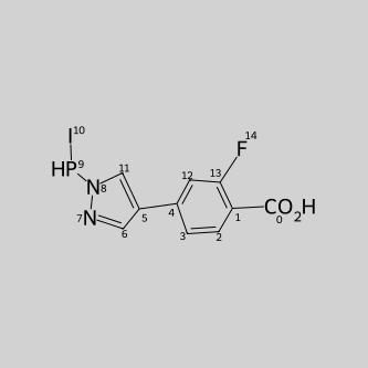 O=C(O)c1ccc(-c2cnn(PI)c2)cc1F